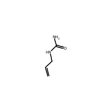 C=C[CH]NC(N)=O